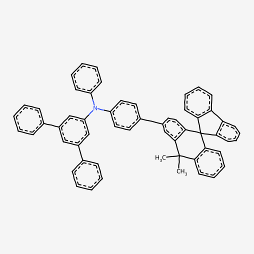 CC1(C)c2ccccc2C2(c3ccccc3-c3ccccc32)c2ccc(-c3ccc(N(c4ccccc4)c4cc(-c5ccccc5)cc(-c5ccccc5)c4)cc3)cc21